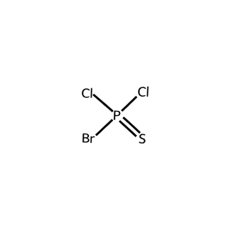 S=P(Cl)(Cl)Br